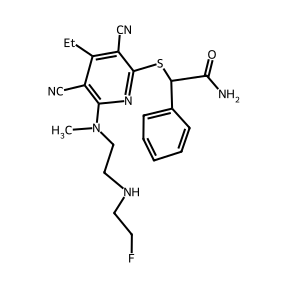 CCc1c(C#N)c(SC(C(N)=O)c2ccccc2)nc(N(C)CCNCCF)c1C#N